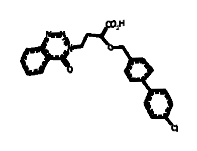 O=C(O)C(CCn1nnc2ccccc2c1=O)OCc1ccc(-c2ccc(Cl)cc2)cc1